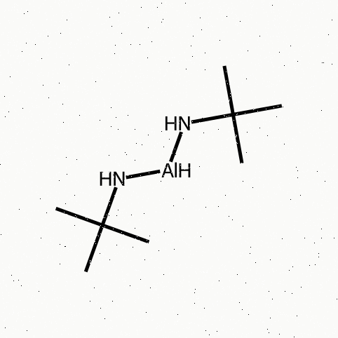 CC(C)(C)[NH][AlH][NH]C(C)(C)C